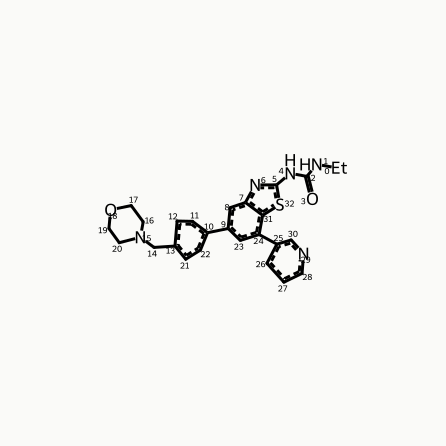 CCNC(=O)Nc1nc2cc(-c3ccc(CN4CCOCC4)cc3)cc(-c3cccnc3)c2s1